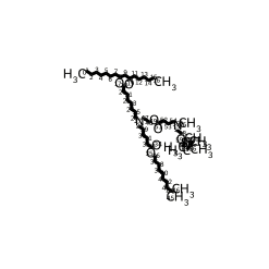 CCCCCCCCC(CCCCCCCC)OC(=O)CCCCCCCN(CCCCCC(=O)OCCCCCCCCC(C)C)CCOC(=O)CCCN(C)CCO[Si](C)(C)C(C)(C)C